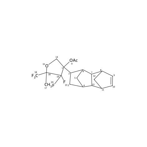 CC(=O)OC1(C2CC3CC2C2C4C=CC(C4)C32)COC(C)(C(F)(F)F)C1(F)F